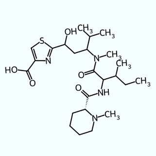 CCC(C)C(NC(=O)[C@H]1CCCCN1C)C(=O)N(C)C(CC(O)c1nc(C(=O)O)cs1)C(C)C